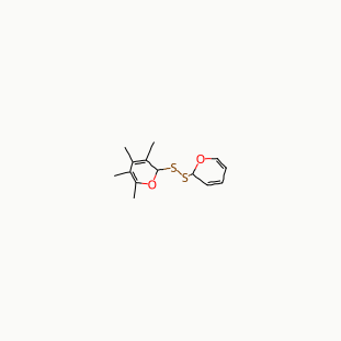 CC1=C(C)C(C)=C(C)C(SSC2C=CC=CO2)O1